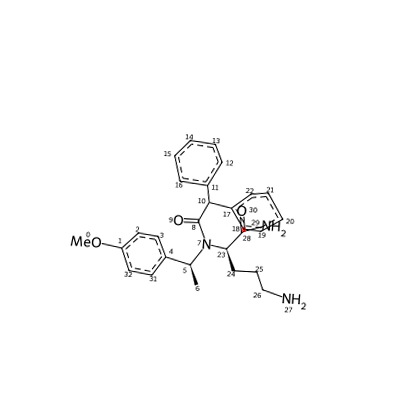 COc1ccc([C@H](C)N(C(=O)C(c2ccccc2)c2ccccc2)[C@H](CCCN)C(N)=O)cc1